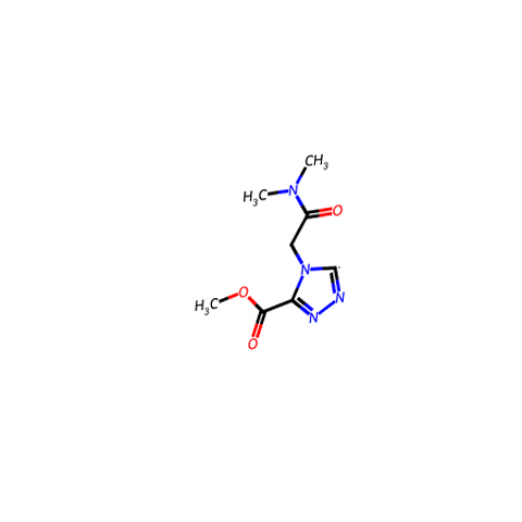 COC(=O)c1nn[c]n1CC(=O)N(C)C